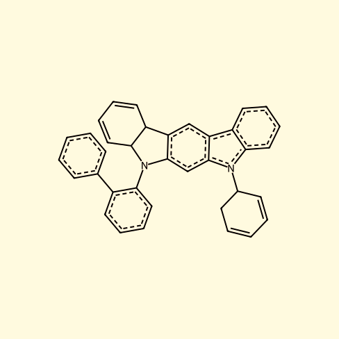 C1=CCC(n2c3ccccc3c3cc4c(cc32)N(c2ccccc2-c2ccccc2)C2C=CC=CC42)C=C1